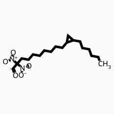 CCCCCCC1CC1CCCCCCCCC([C]=O)([N+](=O)[O-])[N+](=O)[O-]